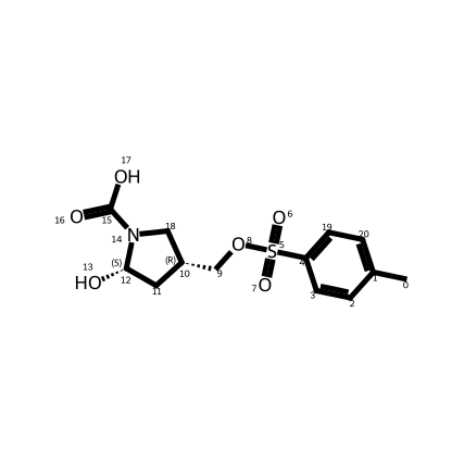 Cc1ccc(S(=O)(=O)OC[C@@H]2C[C@H](O)N(C(=O)O)C2)cc1